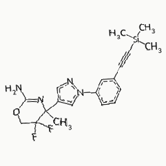 CC1(c2cnn(-c3cccc(C#C[Si](C)(C)C)c3)c2)N=C(N)OCC1(F)F